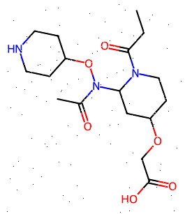 CCC(=O)N1CCC(OCC(=O)O)CC1N(OC1CCNCC1)C(C)=O